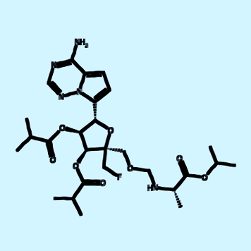 CC(C)OC(=O)[C@H](C)NCOC[C@@]1(CF)O[C@@H](c2ccc3c(N)ncnn23)[C@H](OC(=O)C(C)C)[C@@H]1OC(=O)C(C)C